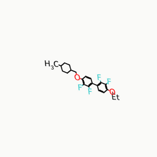 CCOc1ccc(-c2ccc(OCC3CCC(C)CC3)c(F)c2F)c(F)c1F